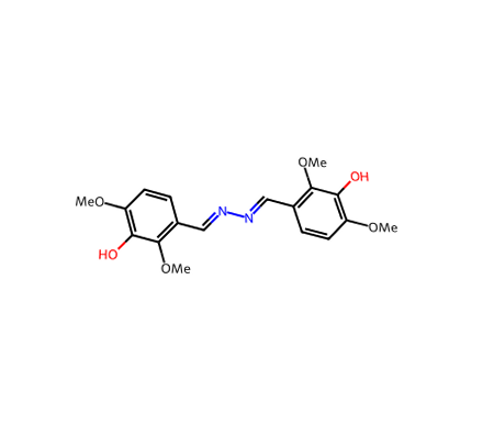 COc1ccc(/C=N/N=C/c2ccc(OC)c(O)c2OC)c(OC)c1O